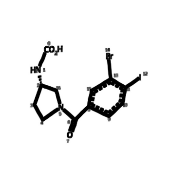 O=C(O)N[C@H]1CCN(C(=O)c2ccc(I)c(Br)c2)C1